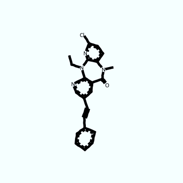 CCN1c2ncc(C#Cc3ccccc3)cc2C(=O)N(C)c2ccc(Cl)nc21